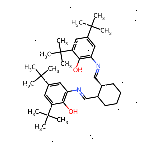 CC(C)(C)c1cc(/N=C/C2CCCC[C@@H]2/C=N/c2cc(C(C)(C)C)cc(C(C)(C)C)c2O)c(O)c(C(C)(C)C)c1